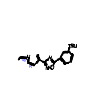 C=C(/C=C\N=C/C)c1noc(-c2cccc(C(C)(C)C)c2)n1